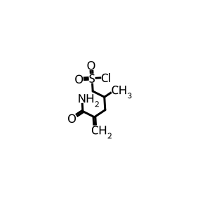 C=C(CC(C)CS(=O)(=O)Cl)C(N)=O